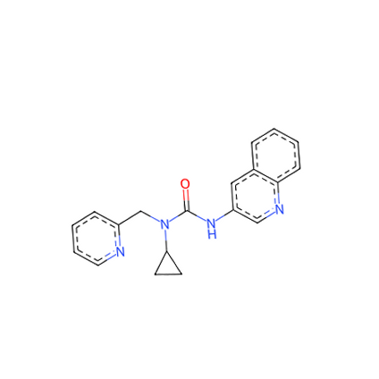 O=C(Nc1cnc2ccccc2c1)N(Cc1ccccn1)C1CC1